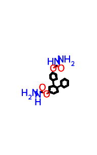 NNC(=O)Oc1ccc(-c2cc(OC(=O)NN)ccc2-c2ccccc2)cc1